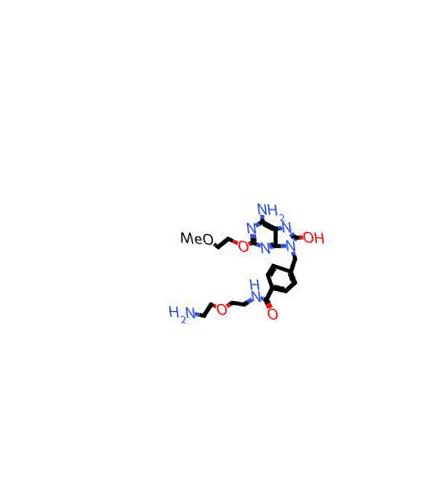 COCCOc1nc(N)c2nc(O)n(Cc3ccc(C(=O)NCCOCCN)cc3)c2n1